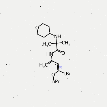 C=C(/C=C(\OCCC)C(C)(C)C)NC(=O)C(C)(C)NC1CCOCC1